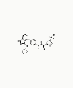 C[C@@H](NC(=O)c1cc(C(C)(C)O)on1)c1ccc(-c2ccnc3[nH]nc(NC4CCCC4)c23)cc1